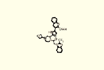 COc1nc2ccccc2cc1-c1cnc([C@@H]2CN(C3COC3)CCN2C(=O)Cn2c(C(F)(F)F)nc3ccccc32)[nH]1